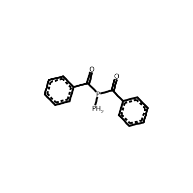 O=C(c1ccccc1)P(P)C(=O)c1ccccc1